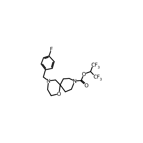 O=C(OC(C(F)(F)F)C(F)(F)F)N1CCC2(CC1)CN(Cc1ccc(F)cc1)CCO2